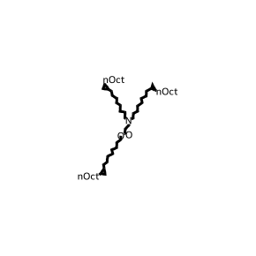 CCCCCCCCC1CC1CCCCCCCCOC(=O)CCN(CCCCCCCCC1CC1CCCCCCCC)CCCCCCCCC1CC1CCCCCCCC